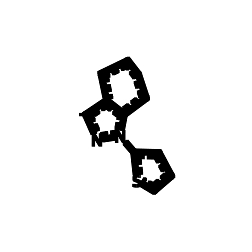 [c]1nn(-c2cccs2)c2ccccc12